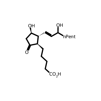 CCCCCC(O)C=C[C@H]1[C@H](O)CC(=O)[C@@H]1CCCCC(=O)O